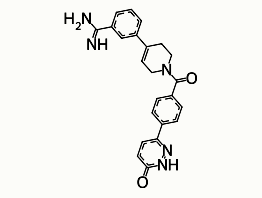 N=C(N)c1cccc(C2=CCN(C(=O)c3ccc(-c4ccc(=O)[nH]n4)cc3)CC2)c1